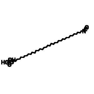 O=C=NCCCCCCCCCCCCCCCCCCCCCCCCCCCCCCCCCCCCCOP(=O)(O)O